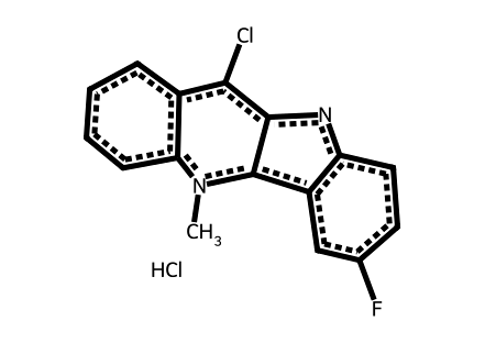 Cl.Cn1c2c3cc(F)ccc3nc-2c(Cl)c2ccccc21